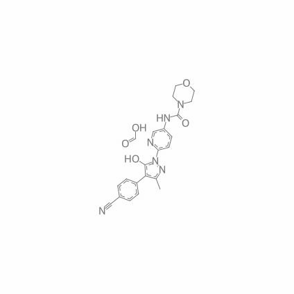 Cc1nn(-c2ccc(NC(=O)N3CCOCC3)cn2)c(O)c1-c1ccc(C#N)cc1.O=CO